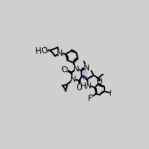 C/N=C1/C(=C(/Nc2ccc(I)cc2F)C(C)C(C)=O)C(=O)N(C2CC2)C(=O)N1c1cccc(N2CC(O)C2)c1